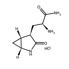 Cl.NC(=O)[C@@H](N)C[C@H]1C(=O)N[C@@H]2C[C@@H]21